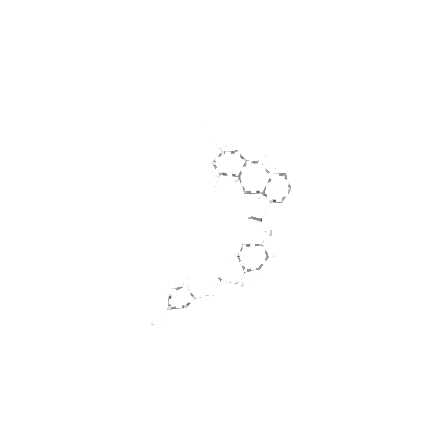 CC(C)(C)c1cc(NC(=O)Nc2ccc(NC(=O)c3cccc4nc5cc(O)cc(O)c5cc34)cc2)no1